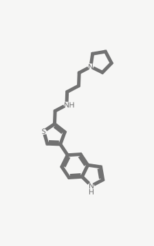 c1cc2cc(-c3csc(CNCCCN4CCCC4)c3)ccc2[nH]1